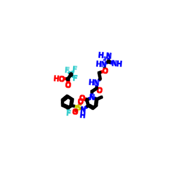 Cc1ccc(NS(=O)(=O)c2ccccc2F)c(=O)n1CC(=O)NCCONC(=N)N.O=C(O)C(F)(F)F